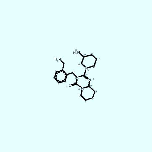 NCc1ccccc1CN1C(=O)N2CCCCC2N=C1N1CCCC(N)C1